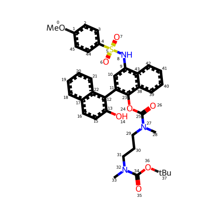 COc1ccc(S(=O)(=O)Nc2cc(-c3c(O)ccc4ccccc34)c(OC(=O)N(C)CCCN(C)C(=O)OC(C)(C)C)c3ccccc23)cc1